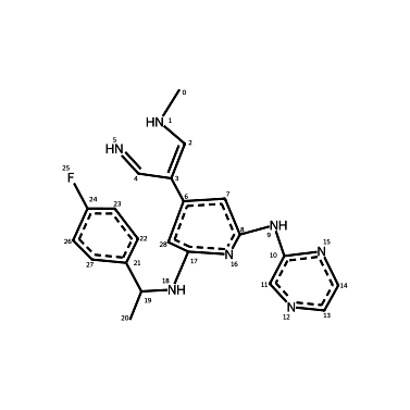 CN/C=C(\C=N)c1cc(Nc2cnccn2)nc(NC(C)c2ccc(F)cc2)c1